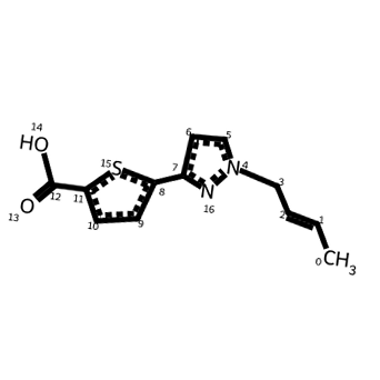 CC=CCn1ccc(-c2ccc(C(=O)O)s2)n1